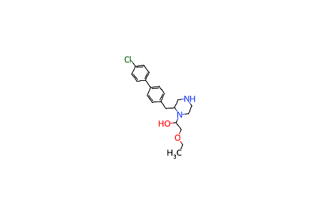 CCOCC(O)N1CCNCC1Cc1ccc(-c2ccc(Cl)cc2)cc1